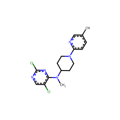 CN(c1nc(Cl)ncc1Cl)C1CCN(c2ccc(C#N)cn2)CC1